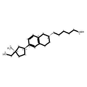 COCCCCC[C@@H]1CCc2cc([C@H]3CC[C@@](N)(CO)C3)ccc2C1